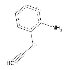 C#C[CH]c1ccccc1N